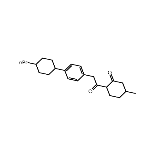 CCCC1CCC(c2ccc(CC(=O)C3CCC(C)CC3=O)cc2)CC1